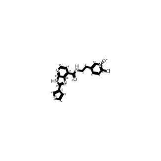 O=C(NCCc1ccc(Cl)[n+]([O-])c1)c1ccnc2[nH]c(-c3ccsc3)nc12